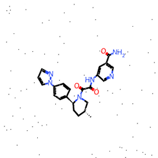 C[C@@H]1CC[C@@H](c2ccc(-n3cccn3)cc2)N(C(=O)C(=O)Nc2cncc(C(N)=O)c2)C1